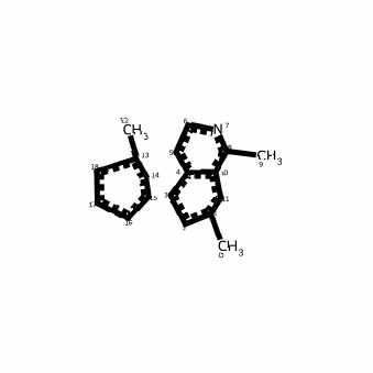 Cc1ccc2ccnc(C)c2c1.Cc1ccccc1